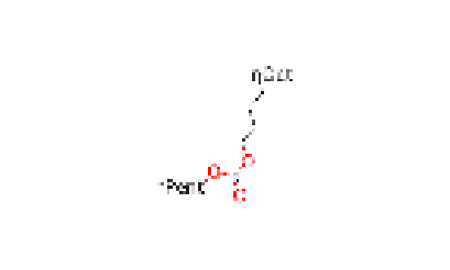 CCCCCCCCCCCCOC(=O)OCCCCC